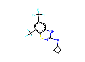 FC(F)(F)c1cc2c(c(C(F)(F)F)c1)SN=C(NC1CCC1)N2